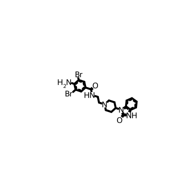 Nc1c(Br)cc(C(=O)NCCN2CCC(n3c(=O)[nH]c4ccccc43)CC2)cc1Br